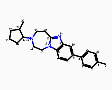 Cc1ccc(-c2ccc3c(c2)nc2n3CCN(C3CCCC3C)CC2)cc1